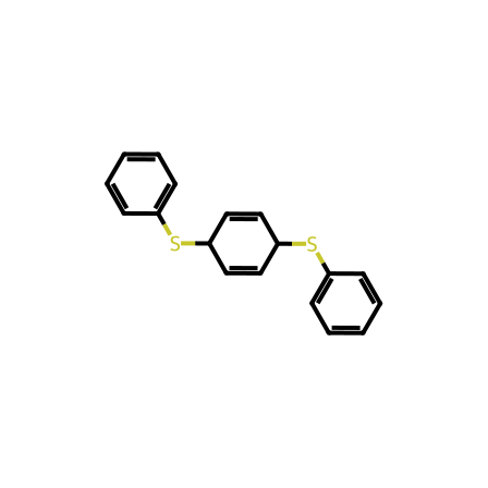 C1=CC(Sc2ccccc2)C=CC1Sc1ccccc1